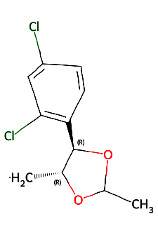 [CH2][C@H]1OC(C)O[C@@H]1c1ccc(Cl)cc1Cl